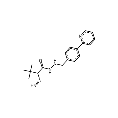 CC(C)(C)C(N=N)C(=O)NNCc1ccc(-c2ccccn2)cc1